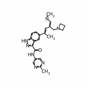 C=N/C=C(\C=C(/C)c1ccc2[nH]nc(C(=O)Nc3cnc(C)nc3)c2c1)CN1CCC1